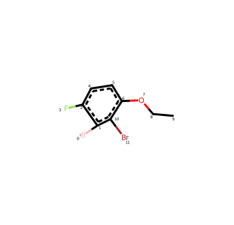 [B]c1c(F)ccc(OCC)c1Br